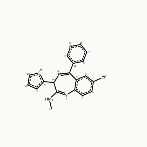 CNC1=Nc2ccc(Cl)cc2C(c2cccnc2)=NC1c1cccs1